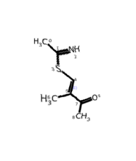 CC(=N)S/C=C(\C)C(C)=O